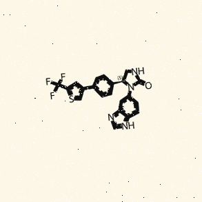 O=C1NC[C@H](c2ccc(-c3csc(C(F)(F)F)c3)cc2)N1c1ccc2[nH]cnc2c1